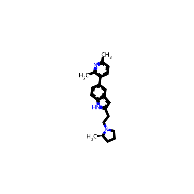 Cc1ccc(-c2ccc3[nH]c(CCN4CCC[C@H]4C)cc3c2)c(C)n1